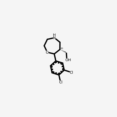 OC[C@H]1CNCCOC1c1ccc(Cl)c(Cl)c1